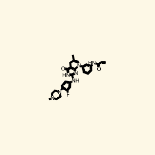 C=CC(=O)Nc1cccc(N2C=C(C)Cc3c2nc(Nc2ccc(N4CCN(C)CC4)c(F)c2)[nH]c3=O)c1